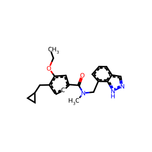 CCOc1cc(C(=O)N(C)Cc2cccc3cn[nH]c23)ccc1CC1CC1